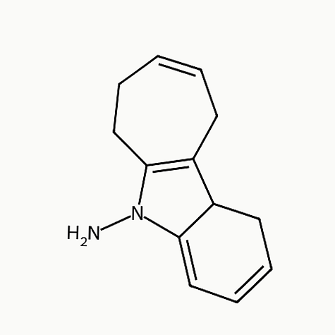 NN1C2=CC=CCC2C2=C1CCC=CC2